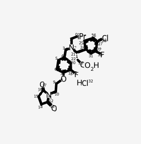 CC(C)CN(Cc1ccc(OCCN2C(=O)CCC2=O)c(F)c1)[C@@H](CC(=O)O)c1ccc(Cl)c(F)c1.Cl